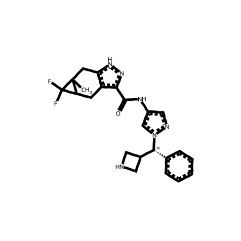 CC12Cc3[nH]nc(C(=O)Nc4cnn([C@H](c5ccccc5)C5CNC5)c4)c3CC1C2(F)F